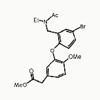 CCN(Cc1cc(Br)ccc1Oc1cc(CC(=O)OC)ccc1OC)C(C)=O